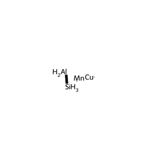 [AlH2][SiH3].[Cu].[Mn]